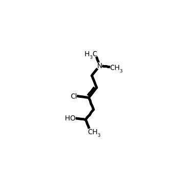 CC(O)CC(Cl)=CCN(C)C